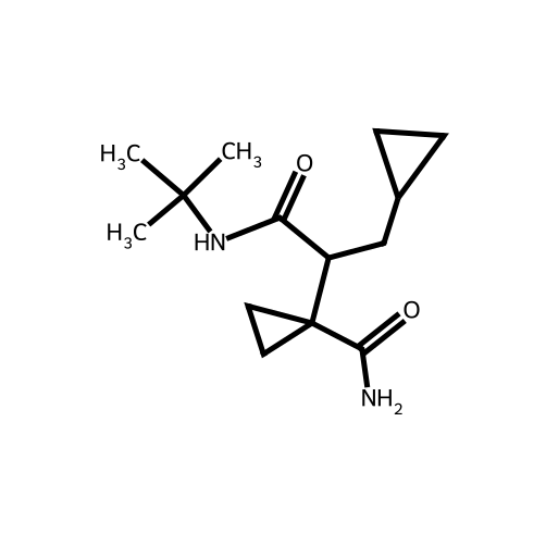 CC(C)(C)NC(=O)C(CC1CC1)C1(C(N)=O)CC1